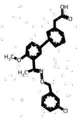 COc1ccc(-c2cccc(CC(=O)O)c2)cc1C(C)=NOCc1cccc(Cl)c1